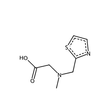 CN(CC(=O)O)Cc1nccs1